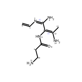 C=C/N=C(N)\C(NC(=O)CCN)=C(/C)N